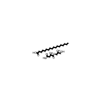 CCCCCCCCCCCCCCCCCC(=O)O.O=C(O)CC(O)C(=O)OCC(O)CO